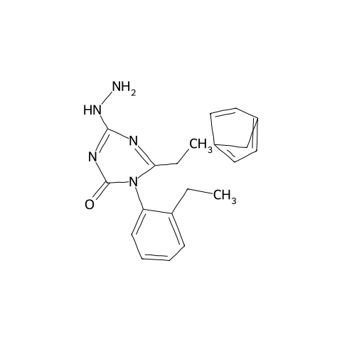 C1=CC2=CC=C1C2.CCc1ccccc1-n1c(CC)nc(NN)nc1=O